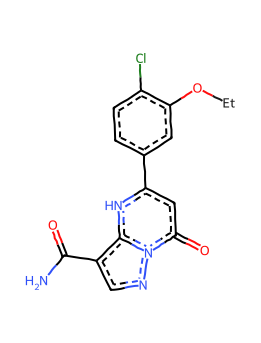 CCOc1cc(-c2cc(=O)n3ncc(C(N)=O)c3[nH]2)ccc1Cl